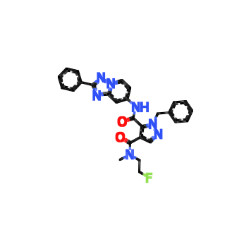 CN(CCF)C(=O)c1cnn(Cc2ccccc2)c1C(=O)Nc1ccn2nc(-c3ccccc3)nc2c1